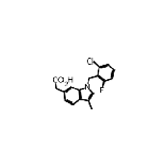 Cc1cn(Cc2c(F)cccc2Cl)c2cc(CC(=O)O)ccc12